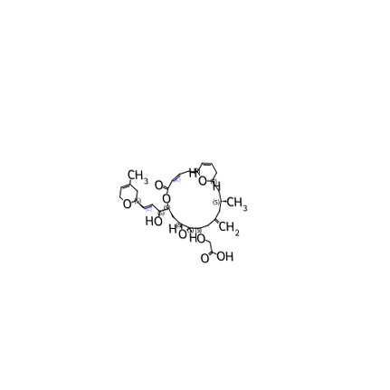 C=C1C[C@H](C)C[C@@H]2CC=C[C@@H](C/C=C\C(=O)O[C@H]([C@@H](O)/C=C/[C@@H]3CC(C)=CCO3)C[C@@H]3O[C@H]3[C@@H](OCC(=O)O)C1)O2